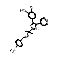 CC(C)(NCc1ccc(C(F)(F)F)cc1)c1nc(-c2ccc(Cl)c(O)c2)c(-c2ccncc2)[nH]1